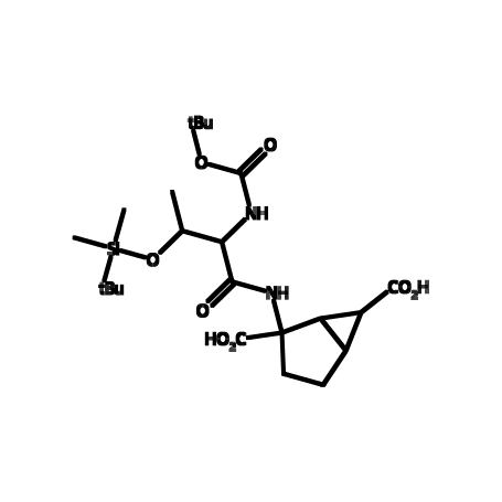 CC(O[Si](C)(C)C(C)(C)C)C(NC(=O)OC(C)(C)C)C(=O)NC1(C(=O)O)CCC2C(C(=O)O)C21